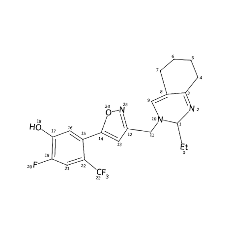 CCC1N=C2CCCCC2=CN1Cc1cc(-c2cc(O)c(F)cc2C(F)(F)F)on1